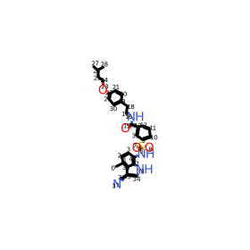 Cc1ccc(NS(=O)(=O)c2cccc(C(=O)NCCc3ccc(OCCC(C)C)cc3)c2)c2[nH]cc(C#N)c12